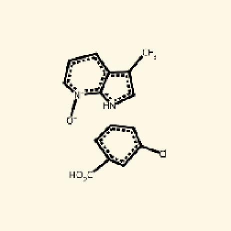 O=C(O)c1cccc(Cl)c1.[O-][n+]1cccc2c(C(F)(F)F)c[nH]c21